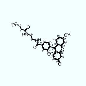 CC(C)OCC(=O)NCCNC(=O)c1ccc(-c2c3ccc(=O)cc-3oc3cc(O)ccc23)c(C(=O)O)c1